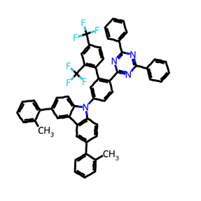 Cc1ccccc1-c1ccc2c(c1)c1cc(-c3ccccc3C)ccc1n2-c1ccc(-c2nc(-c3ccccc3)nc(-c3ccccc3)n2)c(-c2ccc(C(F)(F)F)cc2C(F)(F)F)c1